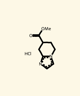 COC(=O)C1CCn2ccnc2C1.Cl